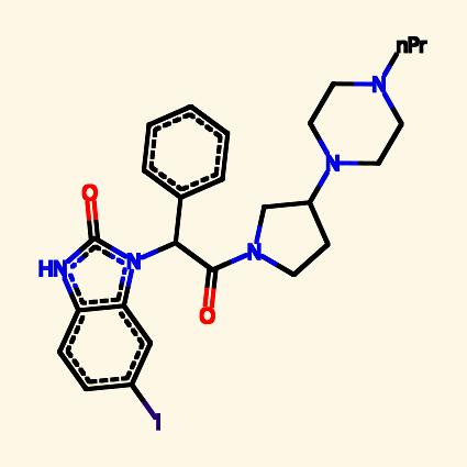 CCCN1CCN(C2CCN(C(=O)C(c3ccccc3)n3c(=O)[nH]c4ccc(I)cc43)C2)CC1